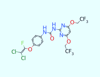 O=C(Nc1ccc(OC(F)=C(Cl)Cl)cc1)Nc1nc(OCC(F)(F)F)cc(OCC(F)(F)F)n1